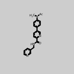 CC(=O)N(C)c1ccc(-c2ccc(C(=O)NCc3cccnc3)nc2)cc1